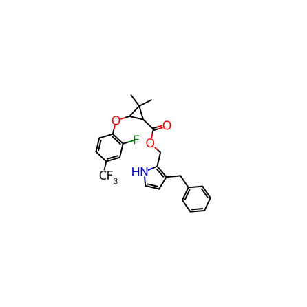 CC1(C)C(Oc2ccc(C(F)(F)F)cc2F)C1C(=O)OCc1[nH]ccc1Cc1ccccc1